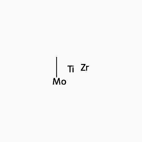 [CH3][Mo].[Ti].[Zr]